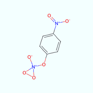 O=[N+]([O-])c1ccc(O[N+]2([O-])OO2)cc1